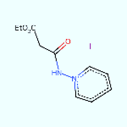 CCOC(=O)CC(=O)N[n+]1ccccc1.[I-]